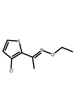 CCON=C(C)c1sccc1Cl